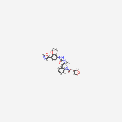 COc1cc(Nc2ncc(-c3ccccc3N(C)C(=O)OC3CCOC3)o2)ccc1-c1cnco1